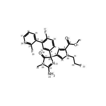 COC(=O)c1cc([C@@]2(c3ccc(F)c(-c4cccnc4F)c3)N=C(N)N(C)C2=O)cn1CCF